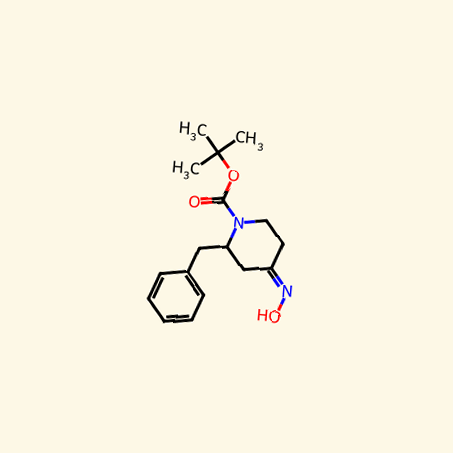 CC(C)(C)OC(=O)N1CCC(=NO)CC1Cc1ccccc1